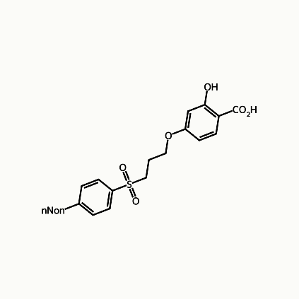 CCCCCCCCCc1ccc(S(=O)(=O)CCCOc2ccc(C(=O)O)c(O)c2)cc1